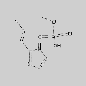 CC=Cc1ncc[nH]1.COS(=O)(=O)O